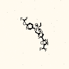 CCS(=O)(=O)N(Cc1ncc(-c2nnc(C(F)F)o2)s1)c1ccc(OC(F)F)nc1